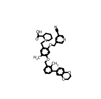 Cc1cc(CN2CCCCC2C(=O)O)c(OCc2cncc(C#N)c2)cc1OCc1cccc(-c2ccc3c(c2)OCCO3)c1C